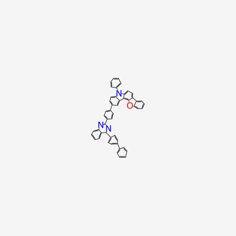 c1ccc(-c2ccc(-c3nc(-c4ccc(-c5ccc6c(c5)c5c7oc8ccccc8c7ccc5n6-c5ccccc5)cc4)nc4ccccc34)cc2)cc1